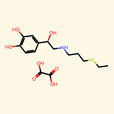 CCSCCCNC[C@H](O)c1ccc(O)c(O)c1.O=C(O)C(=O)O